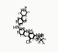 Cc1cnc(Nc2cc(F)c(C3CCN(C)CC3)cn2)nc1Nc1cc(Cl)cc(NS(=O)(=O)C(C)(C)C)c1